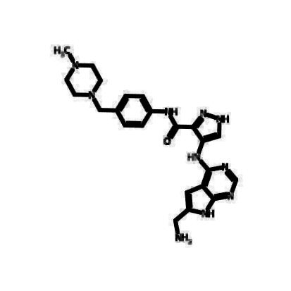 CN1CCN(Cc2ccc(NC(=O)c3n[nH]cc3Nc3ncnc4[nH]c(CN)cc34)cc2)CC1